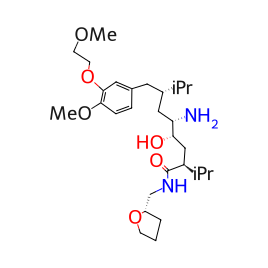 COCCOc1cc(C[C@@H](C[C@H](N)[C@@H](O)C[C@H](C(=O)NC[C@@H]2CCCO2)C(C)C)C(C)C)ccc1OC